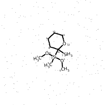 CO[Si](C)(OC)C1([SiH3])CCCCO1